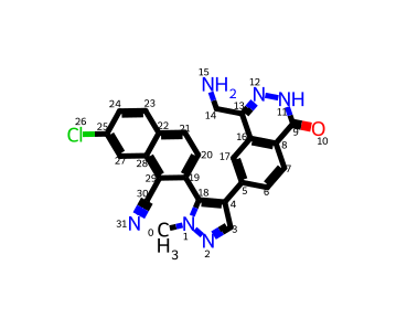 Cn1ncc(-c2ccc3c(=O)[nH]nc(CN)c3c2)c1-c1ccc2ccc(Cl)cc2c1C#N